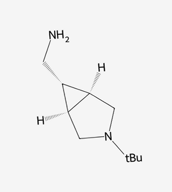 CC(C)(C)N1C[C@@H]2[C@@H](CN)[C@@H]2C1